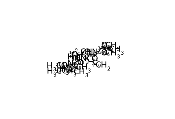 C=CCCC(NC(=O)[C@@H]1CCCN1C(=O)[C@@H](NC(=O)OC(C)(C)C)C(C)(C)C)C(=O)C(=O)NCCS(=O)(=O)C(C)(C)C